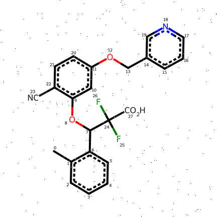 Cc1ccccc1C(Oc1cc(OCc2cccnc2)ccc1C#N)C(F)(F)C(=O)O